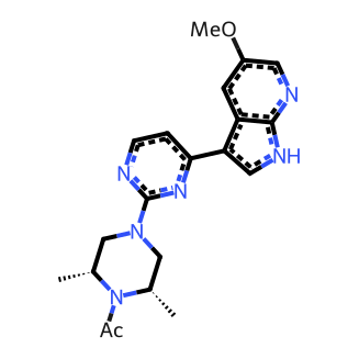 COc1cnc2[nH]cc(-c3ccnc(N4C[C@@H](C)N(C(C)=O)[C@@H](C)C4)n3)c2c1